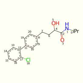 CC(C)NC(=O)C(O)CCc1ccc(-c2ccccc2Cl)cc1